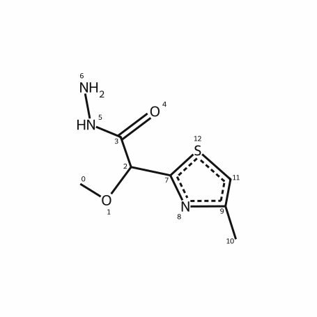 COC(C(=O)NN)c1nc(C)cs1